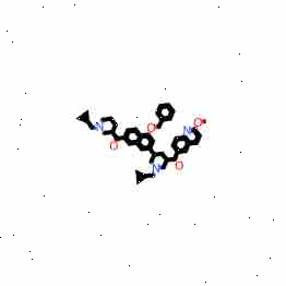 COc1ccc2cc(C(=O)C3CC(c4cc(OCc5ccccc5)c5ccc(C(=O)C6CCCN(CC7CC7)C6)cc5c4)CN(CC4CC4)C3)ccc2n1